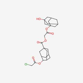 O=C(CCl)OC1C2CC3CC1CC(C(=O)OCC(=O)OC14CC5CC(CC(O)(C5)C1)C4)(C3)C2